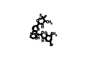 CC(NC(=O)c1ccc2c(n1)N(C(=O)Nc1cc(Br)cn(C)c1=O)[C@H]1CCN2C1)C(F)(F)F